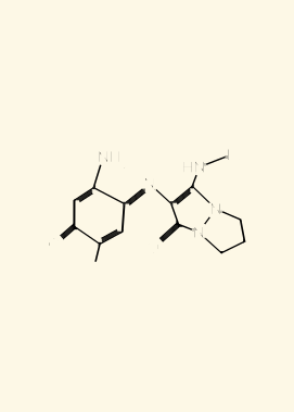 CCNc1c(N=C2C=C(C)C(=O)C=C2N)c(=O)n2n1CCC2